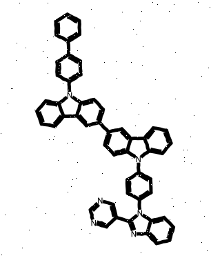 c1ccc(-c2ccc(-n3c4ccccc4c4cc(-c5ccc6c(c5)c5ccccc5n6-c5ccc(-n6c(-c7cncnc7)nc7ccccc76)cc5)ccc43)cc2)cc1